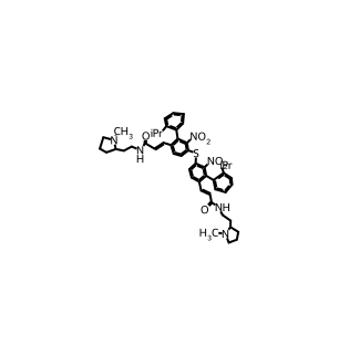 CC(C)c1ccccc1-c1c(/C=C/C(=O)NCCC2CCCN2C)ccc(Sc2ccc(/C=C/C(=O)NCCC3CCCN3C)c(-c3ccccc3C(C)C)c2[N+](=O)[O-])c1[N+](=O)[O-]